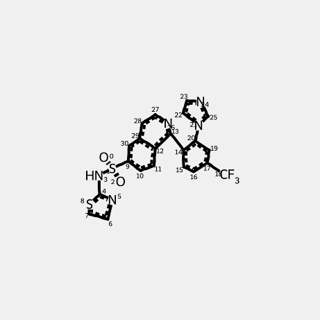 O=S(=O)(Nc1nccs1)c1ccc2c(-c3ccc(C(F)(F)F)cc3-n3ccnc3)nccc2c1